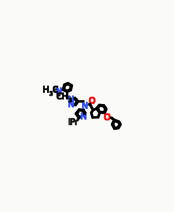 CC(C)c1ccc(N(Cc2cnn(Cc3ccccc3N(C)C)c2)C(=O)C2CCCc3c(OCc4ccccc4)cccc32)cn1